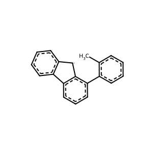 Cc1ccccc1-c1cccc2c1[CH]c1ccccc1-2